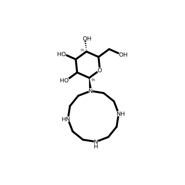 OCC1O[C@@H](N2CCNCCNCCNCC2)C(O)C(O)[C@@H]1O